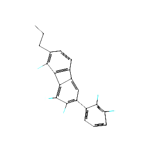 CCCc1ccc2c(c1F)-c1c-2cc(-c2cccc(F)c2F)c(F)c1F